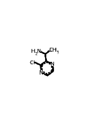 CC(N)c1nccnc1Cl